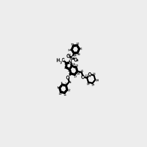 Cc1cc2c(OCc3ccccc3)cc(COC3CCCCO3)cc2n1S(=O)(=O)c1ccccc1